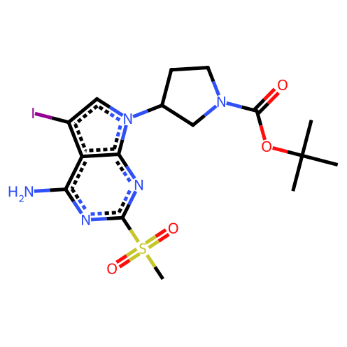 CC(C)(C)OC(=O)N1CCC(n2cc(I)c3c(N)nc(S(C)(=O)=O)nc32)C1